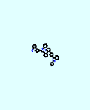 N#Cc1ccccc1-c1cccc(-c2cc(-c3ccccc3-c3ccccc3-c3ccc(-c4nc(-c5ccccc5)nc5ccccc45)cc3)nc(-c3ccccc3)n2)c1